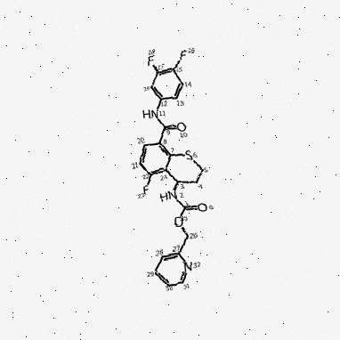 O=C(NC1CCSc2c(C(=O)Nc3ccc(F)c(F)c3)ccc(F)c21)OCc1ccccn1